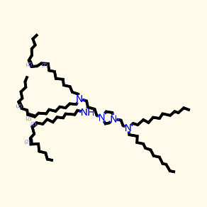 CCCCC/C=C\C/C=C\CCCCCCCCNC(CCN1CCN(CCN(CCCCCCCCCCCC)CCCCCCCCCCCC)CC1)CN(CCCCCCCC/C=C\C/C=C\CCCCC)CCCCCCCC/C=C\C/C=C\CCCCC